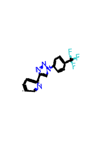 FC(F)(F)c1ccc(-n2cc(-c3cc[c]cn3)nn2)cc1